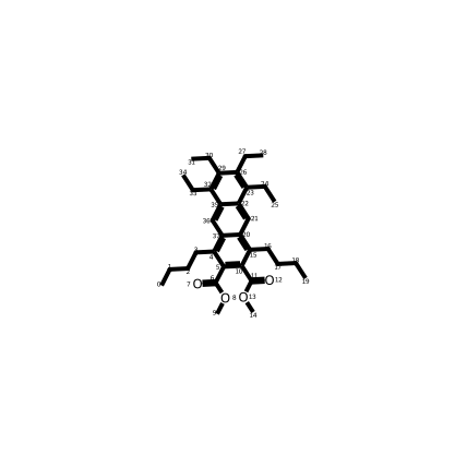 CCCCc1c(C(=O)OC)c(C(=O)OC)c(CCCC)c2cc3c(CC)c(CC)c(CC)c(CC)c3cc12